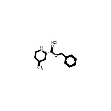 C=C1CCN[C@H](C(=O)OCc2ccccc2)C1.Cl